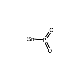 O=[P](=O)[Sn]